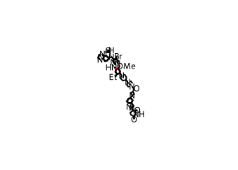 CCc1cc(Nc2ncc(Br)c(Nc3ccc4nccnc4c3P(C)(C)=O)n2)c(OC)cc1N1CCC(N2CCN(C(=O)C3CN(c4ccc5nn(C6CCC(=O)NC6=O)cc5c4)C3)CC2)CC1